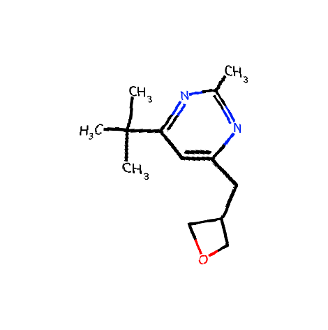 Cc1nc(CC2COC2)cc(C(C)(C)C)n1